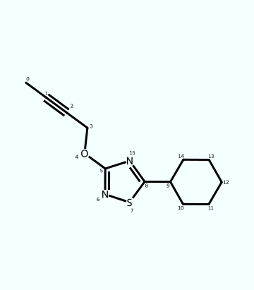 CC#CCOc1nsc(C2CCCCC2)n1